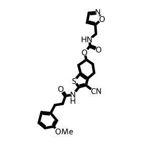 COc1cccc(CCC(=O)Nc2sc3c(c2C#N)CCC(OC(=O)NCc2ccno2)C3)c1